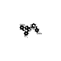 COc1ccc(COc2cc(C(F)(F)F)ccc2-c2nnc(NC3(C)CCCN(Cc4ccc(OC)cc4)C3=O)c3cnccc23)cc1